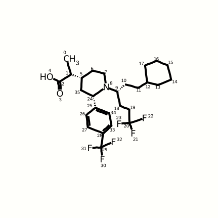 CC(C(=O)O)[C@@H]1CCN([C@H](CCC2CCCCC2)CCC(F)(F)F)[C@H](c2ccc(C(F)(F)F)cc2)C1